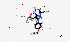 CCCOc1ccc(-c2nn3c(CCC)cc(C)nc3c2CC(=O)N(CC)CC)cc1